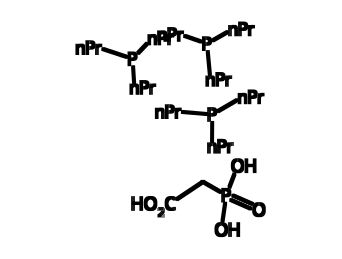 CCCP(CCC)CCC.CCCP(CCC)CCC.CCCP(CCC)CCC.O=C(O)CP(=O)(O)O